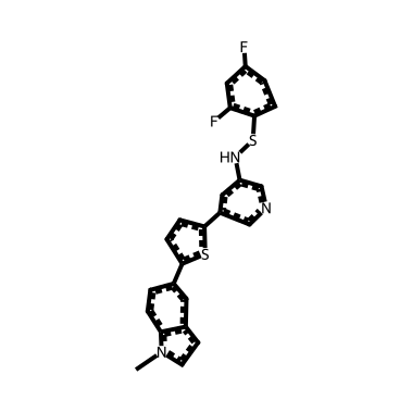 Cn1ccc2cc(-c3ccc(-c4cncc(NSc5ccc(F)cc5F)c4)s3)ccc21